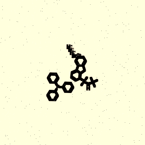 CC(C)(C)N[Si](C)(C)c1cccc2c1Cc1ccccc1-2.[H-].[H-].[H-].[Sc+3].c1ccc(P(c2ccccc2)c2ccccc2)cc1